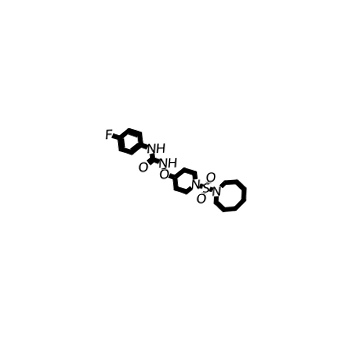 O=C(NOC1CCN(S(=O)(=O)N2CCCCCCC2)CC1)Nc1ccc(F)cc1